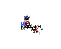 CCOc1c(C)cc(-c2ccc3c(c2)CC(CC)(CC)C3NC(=O)O[C@H]2CN3CCC2CC3)cc1C